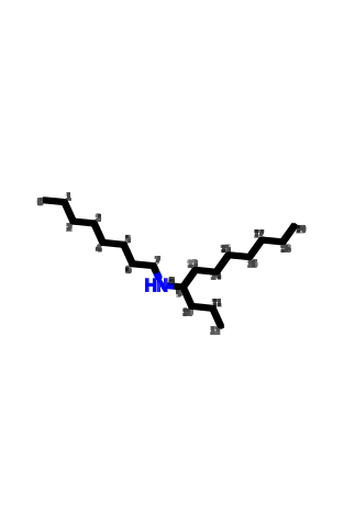 CCCCCCCCNC(CCC)CCCCCCC